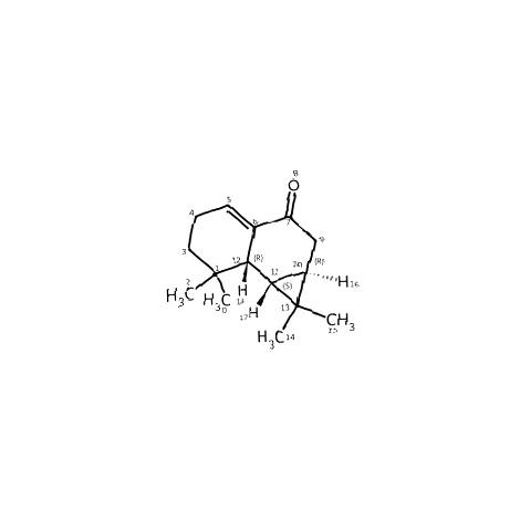 CC1(C)CCC=C2C(=O)C[C@@H]3[C@@H]([C@@H]21)C3(C)C